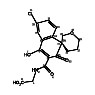 O=C(O)CNC(=O)C1=C(O)c2cc(Cl)ccc2[C@@]2(CCCOC2)C1=O